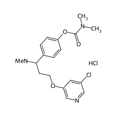 CNC(CCOc1cncc(Cl)c1)c1ccc(OC(=O)N(C)C)cc1.Cl